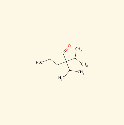 CCCC([C]=O)(C(C)C)C(C)C